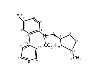 CN1CC[C@H](CN(C(=O)O)c2ccc(F)cc2-c2ccccc2)C1